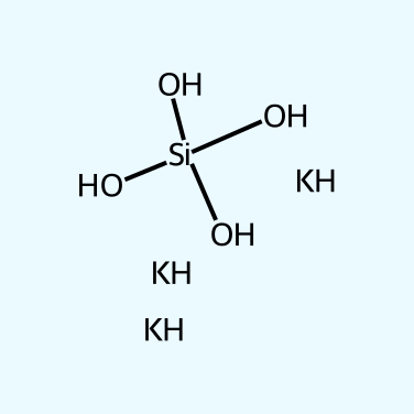 O[Si](O)(O)O.[KH].[KH].[KH]